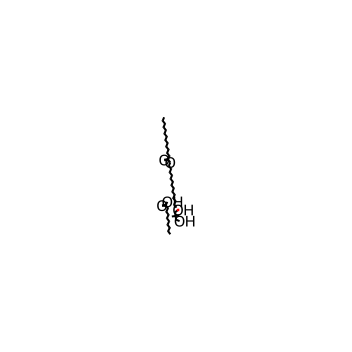 CC(C)(CO)CO.CCCCCCCCCC(=O)O.CCCCCCCCCCCCCCOC(=O)CCCCCCCCCCCCC